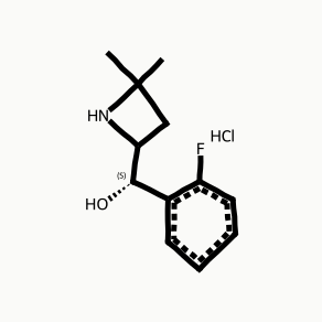 CC1(C)CC([C@@H](O)c2ccccc2F)N1.Cl